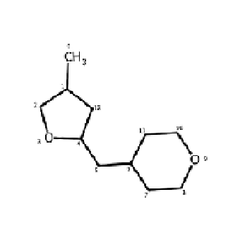 CC1COC(CC2CCOCC2)C1